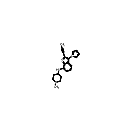 CC#Cc1oc2c(NC3CCN(C)CC3)cccc2c1-n1cccc1